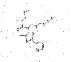 CSCC(C)C(=O)N(CC(C)CN=[N+]=[N-])c1sc(-c2cccnc2)nc1C